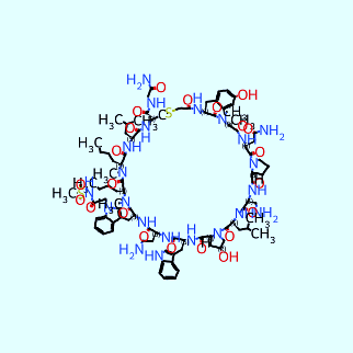 CCCC[C@H]1C(=O)N(C)[C@@H](CCCC)C(=O)N[C@@H](CC(C)C)C(=O)N[C@H](C(=O)NCC(N)=O)CSCC(=O)N[C@@H](Cc2ccc(O)cc2)C(=O)N(C)[C@@H](C)C(=O)N[C@@H](CC(N)=O)C(=O)N2CCC[C@H]2C(=O)N[C@@H](CN)C(=O)N[C@@H](CC(C)C)C(=O)N2C[C@H](O)C[C@H]2C(=O)N[C@@H](Cc2c[nH]c3ccccc23)C(=O)N[C@@H](CCN)C(=O)N[C@@H](Cc2cn(CC(=O)NS(C)(=O)=O)c3ccccc23)C(=O)N1C